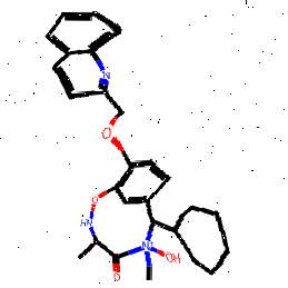 CC1NOc2cc(ccc2OCc2ccc3ccccc3n2)C(C2CCCCC2)[N+](C)(O)C1=O